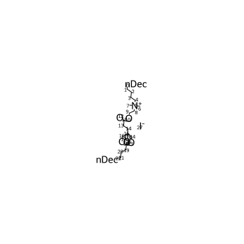 CCCCCCCCCCCCCC[N+](C)(C)CCOC(=O)CCC12COC(CCCCCCCCCCCCC)(OC1)OC2.[I-]